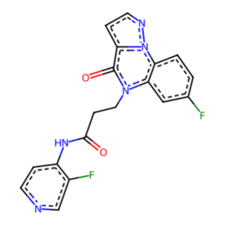 O=C(CCn1c(=O)c2ccnn2c2ccc(F)cc21)Nc1ccncc1F